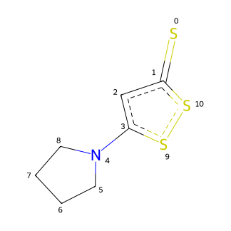 S=c1cc(N2CCCC2)ss1